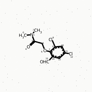 CN(C)C(=O)COc1c(Cl)cc(Cl)cc1C=O